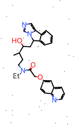 CCN(CCC(C)C(O)CC1c2ccccc2-c2cncn21)C(=O)COc1ccc2ncccc2c1